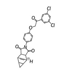 O=C(COc1ccc(N2C(=O)C3C4C=C[C@H](C5CC45)C3C2=O)cc1)c1cc(Cl)cc(Cl)c1